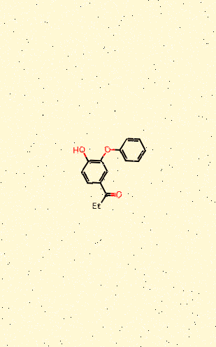 CCC(=O)c1ccc(O)c(Oc2ccccc2)c1